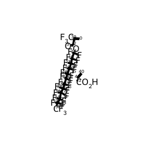 C=C(C(=O)OC(F)(F)C(F)(F)C(F)(F)C(F)(F)C(F)(F)C(F)(F)C(F)(F)C(F)(F)C(F)(F)C(F)(F)C(F)(F)C(F)(F)F)C(F)(F)F.C=CC(=O)O